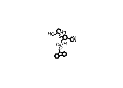 O=C(NCc1cc(-c2ccnnc2)cc(Cl)c1Sc1ncccc1CO)OCC1c2ccccc2-c2ccccc21